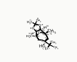 CCC(C)(C)[C@@]1(O)C[C@@]2(C)O[C@@](C)(C1)[C@@H]1OC(C)(C)O[C@@H]12